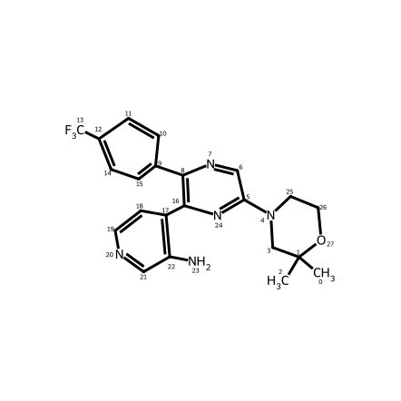 CC1(C)CN(c2cnc(-c3ccc(C(F)(F)F)cc3)c(-c3ccncc3N)n2)CCO1